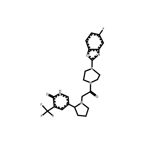 O=C(CN1CCCC1c1c[nH]c(=O)c(C(F)(F)F)c1)N1CCN(c2nc3cc(F)ccc3o2)CC1